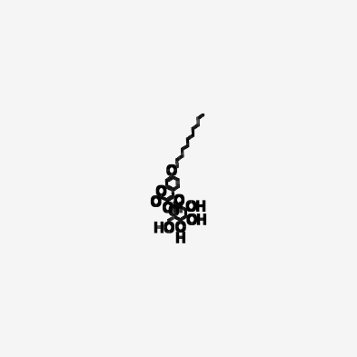 CCCCCCCCCCCOc1ccc2c(O[C@@H]3O[C@H](CO)[C@@H](O)[C@H](O)[C@@H]3O)c(O)c(=O)oc2c1